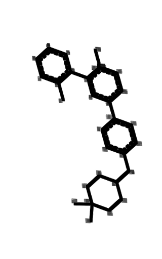 Cc1ccccc1-c1cc(-c2ccc(CC3CCC(C)(C)CC3)cc2)cc[n+]1C